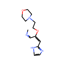 C/N=C\C(=C/c1ncc[nH]1)OCCN1CCOCC1